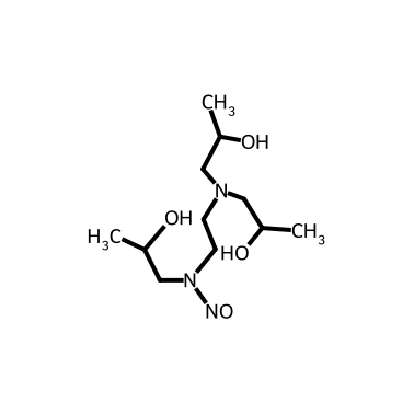 CC(O)CN(CCN(CC(C)O)N=O)CC(C)O